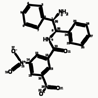 N[C@H](c1ccccc1)[C@H](NC(=O)c1cc([N+](=O)[O-])cc([N+](=O)[O-])c1)c1ccccc1